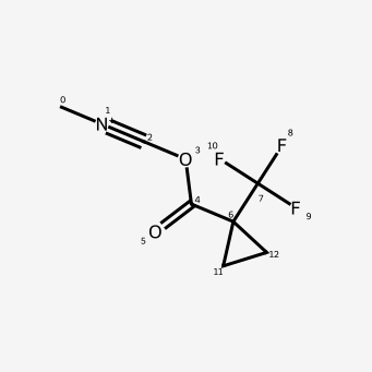 C[N+]#COC(=O)C1(C(F)(F)F)CC1